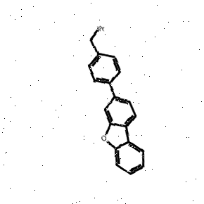 CC(C)Cc1ccc(-c2ccc3c(c2)oc2ccccc23)cc1